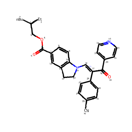 CCCCC(CC)COC(=O)c1ccc2c(c1)CCN2/C=C(/C(=O)c1ccncc1)c1ccc(C#N)cc1